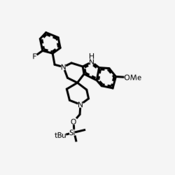 COc1ccc2c3c([nH]c2c1)CN(Cc1ccccc1F)CC31CCN(CO[Si](C)(C)C(C)(C)C)CC1